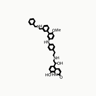 COc1ccc(Nc2ccc(CCNC[C@H](O)c3ccc(O)c4[nH]c(=O)ccc34)cc2)cc1-c1cccc(CNCc2ccccc2)c1